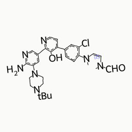 CN(C=O)/C=C\N(C)c1ccc(-c2ccnc(-c3cnc(N)c(N4CCN(C(C)(C)C)CC4)c3)c2O)cc1Cl